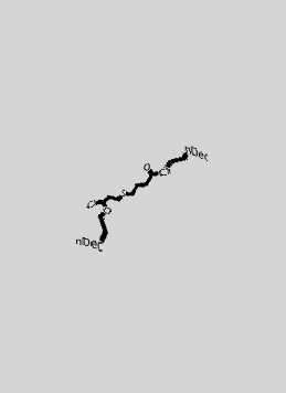 CCCCCCCCCCCCOC(=O)CCCSCCC(=O)OCCCCCCCCCCCC